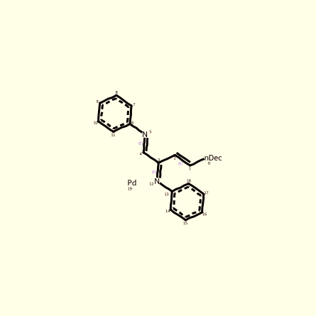 CCCCCCCCCC/C=C/C(/C=N/c1ccccc1)=N\c1ccccc1.[Pd]